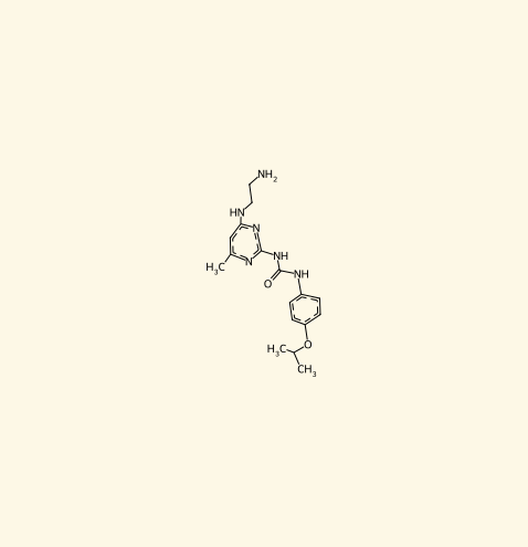 Cc1cc(NCCN)nc(NC(=O)Nc2ccc(OC(C)C)cc2)n1